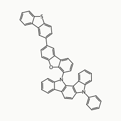 c1ccc(-n2c3ccccc3c3c2ccc2c4ccccc4n(-c4cccc5c4oc4ccc(-c6ccc7sc8ccccc8c7c6)cc45)c23)cc1